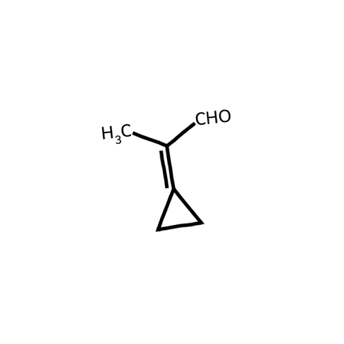 CC(C=O)=C1CC1